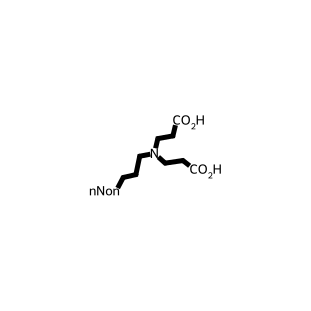 CCCCCCCCCCCCN(CCC(=O)O)CCC(=O)O